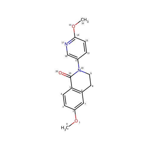 COc1ccc2c(c1)CCN(c1ccc(OC)nc1)C2=O